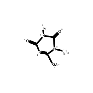 CSc1nc(=O)n(C(C)C)c(=O)n1C